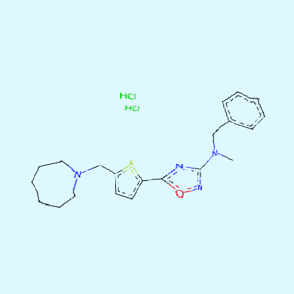 CN(Cc1ccccc1)c1noc(-c2ccc(CN3CCCCCC3)s2)n1.Cl.Cl